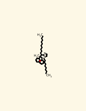 CCCCCCCCCCCC(c1nccn1CCCCCCCCCC)C(C)(Cc1ccccc1)c1ccccc1